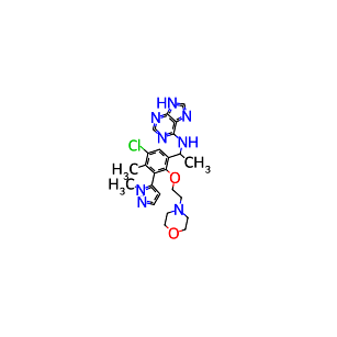 Cc1c(Cl)cc(C(C)Nc2ncnc3[nH]cnc23)c(OCCN2CCOCC2)c1-c1ccnn1C